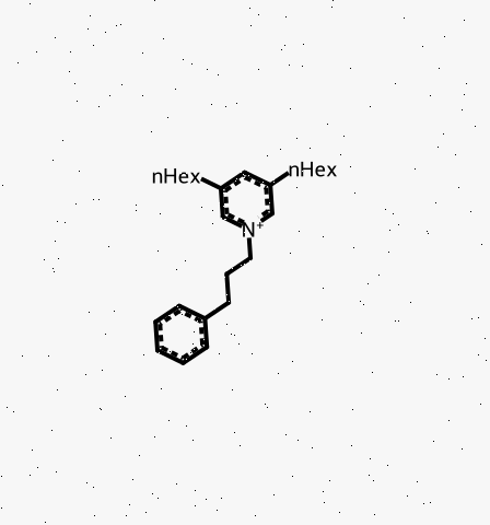 CCCCCCc1cc(CCCCCC)c[n+](CCCc2ccccc2)c1